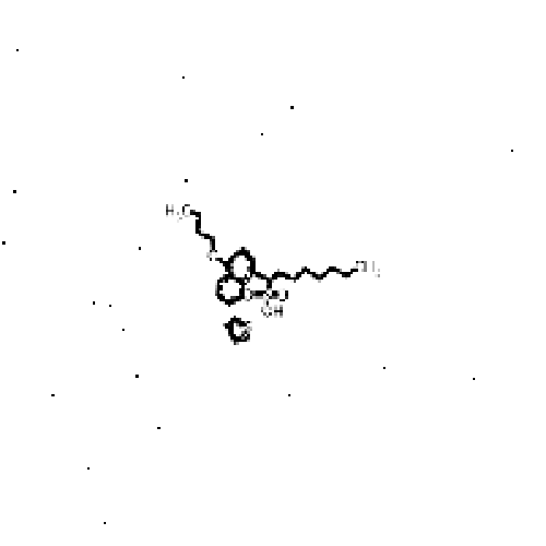 CCCCCCCC(c1ccc(OCCCC)c2ccccc12)S(=O)(=O)O.c1ccsc1